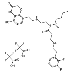 CCCC[C@@H](C)N(CCNCCc1ccc(O)c2c1OCC(=O)N2)C(=O)CCNCCc1cccc(F)c1F.O=C(O)C(F)(F)F.O=C(O)C(F)(F)F